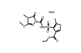 CCOC(=O)c1csc(C)c1S(=O)(=O)NC(=O)n1nc(OC)n(C)c1=O.[NaH]